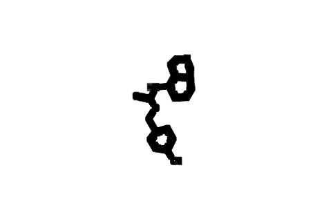 N#Cc1ccc(COC(=O)Nc2cccc3cnccc23)cc1